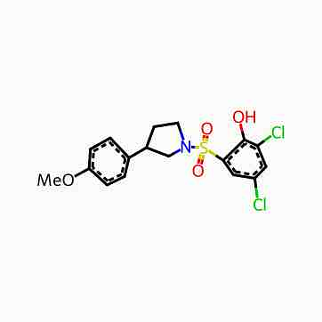 COc1ccc(C2CCN(S(=O)(=O)c3cc(Cl)cc(Cl)c3O)C2)cc1